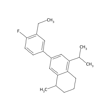 CCc1cc(-c2cc(C(C)C)c3c(c2)C(C)CCC3)ccc1F